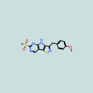 COc1ccc(Cc2nsc3c2[nH]c2nc(S(C)(=O)=O)ncc23)cc1